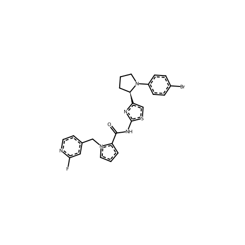 O=C(Nc1nc([C@H]2CCCN2c2ccc(Br)cc2)cs1)c1cccn1Cc1ccnc(F)c1